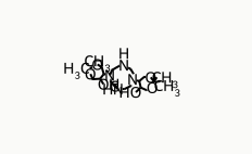 CC1(C)OCC(O)C(N2CCNCCN(C3COC(C)(C)OCC3O)CCNCC2)CO1